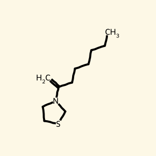 C=C(CCCCCC)N1CCSC1